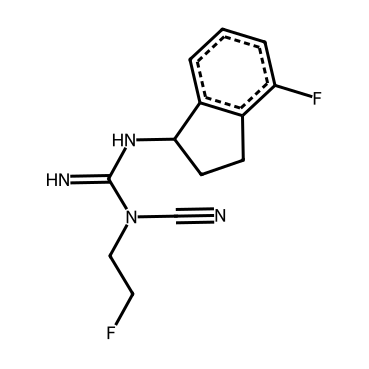 N#CN(CCF)C(=N)NC1CCc2c(F)cccc21